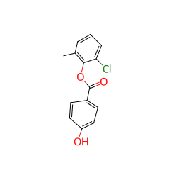 Cc1cccc(Cl)c1OC(=O)c1ccc(O)cc1